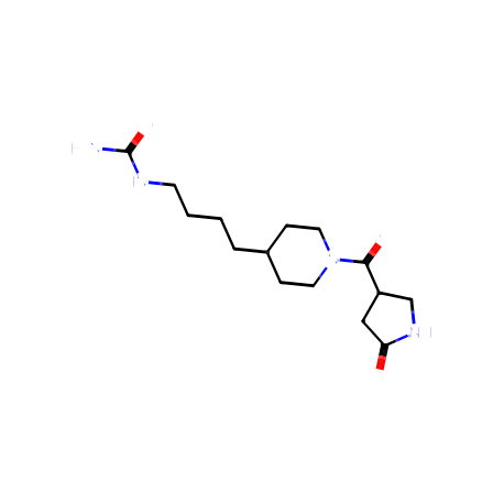 NC(=O)NCCCCC1CCN(C(=O)C2CNC(=O)C2)CC1